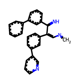 C=N/C=C(\C(=N)c1cccc(-c2ccccc2)c1)c1cccc(-c2cccnc2)c1